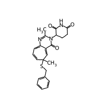 Cc1nc2c(c(=O)n1C1CCC(=O)NC1=O)=CC(C)(SCc1ccccc1)C=CC=2